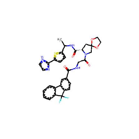 CC(NC(=O)[C@@H]1CC2(CN1C(=O)CNC(=O)c1ccc3c(c1)-c1ccccc1C3(F)F)OCCO2)c1ccc(-c2ncc[nH]2)s1